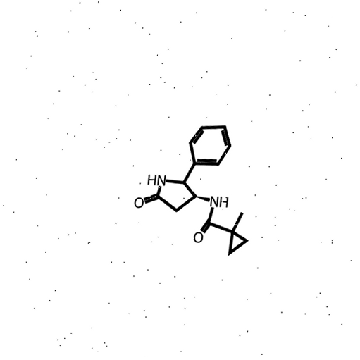 CC1(C(=O)N[C@H]2CC(=O)NC2c2ccccc2)CC1